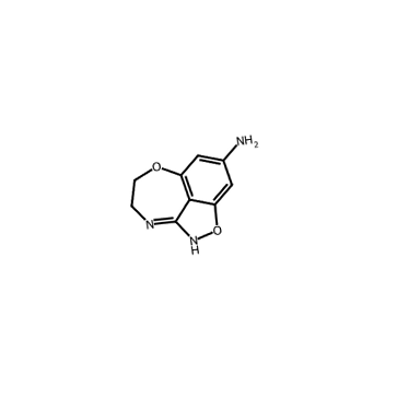 Nc1cc2c3c(c1)ONC3=NCCO2